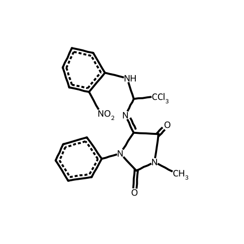 CN1C(=O)C(=NC(Nc2ccccc2[N+](=O)[O-])C(Cl)(Cl)Cl)N(c2ccccc2)C1=O